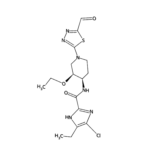 CCO[C@H]1CN(c2nnc(C=O)s2)CC[C@H]1NC(=O)c1nc(Cl)c(CC)[nH]1